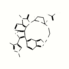 COC(=O)N[C@H]1C[C@H]2C[C@H]1OCCn1cc3cc(ccc3n1)-c1c(-c3cn(C)nc3F)[nH]c3ncc4c(c13)n2c(=O)n4C